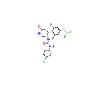 O=C1CC(c2c(F)cc(OC(F)F)cc2F)C(NC(=O)Nc2ccc(Cl)cc2)CN1